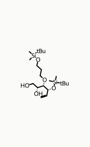 C=C[C@@H](O[Si](C)(C)C(C)(C)C)[C@@H](OCCCO[Si](C)(C)C(C)(C)C)[C@H](O)CO